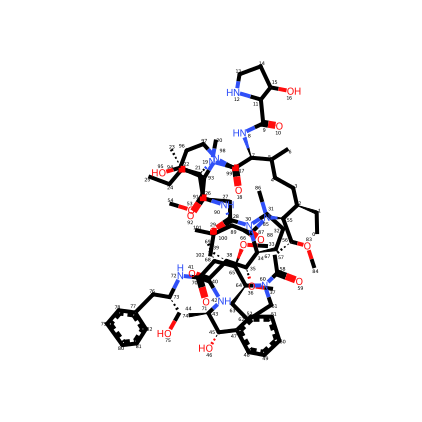 CC[C@H](CCC(C)[C@H](NC(=O)C1NCCC1O)C(=O)N(C)[C@@H]([C@@H](C)CC)[C@@H](CC(=O)N1CCC[C@H]1[C@H](OC)[C@@H](C)C(=O)N[C@H](C)[C@@H](O)c1ccccc1)OC)[C@@H]([C@@H](CC(=O)N1CCC[C@H]1[C@H](OC)[C@@H](C)C(=O)N[C@H](CO)Cc1ccccc1)OC)N(C)C(=O)[C@@H](NC(=O)C1C(O)CCN1C)C(C)C